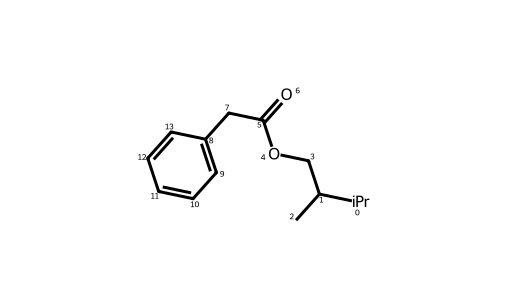 CC(C)C(C)COC(=O)Cc1ccccc1